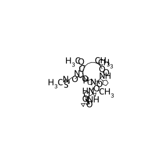 CC[C@@H]1CC1(NC(=O)[C@@H]1C[C@@H]2CN1C(=O)[C@H](C1CCCC1)NC(=O)OCC(C)(C)CCCc1cc3c(cc(OCc4csc(C)n4)nc3cc1OC)O2)C(=O)NS(=O)(=O)C1CC1